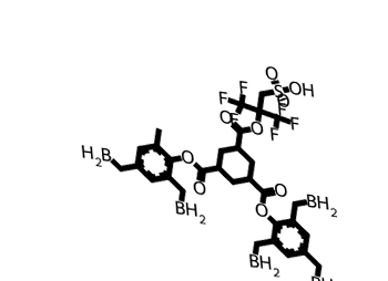 BCc1cc(C)c(OC(=O)C2CC(C(=O)Oc3c(CB)cc(CB)cc3CB)CC(C(=O)OC(CS(=O)(=O)O)(C(F)(F)F)C(F)(F)F)C2)c(CB)c1